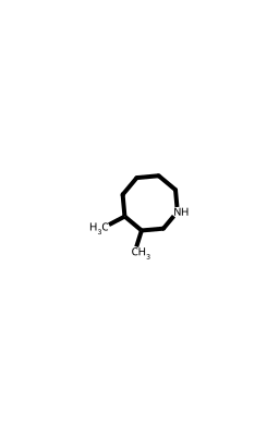 CC1CCCCNCC1C